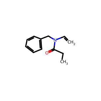 C=CN(Cc1ccccc1)C(=O)CC